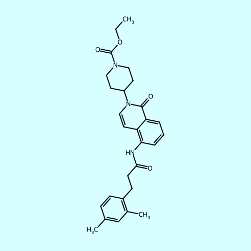 CCOC(=O)N1CCC(n2ccc3c(NC(=O)CCc4ccc(C)cc4C)cccc3c2=O)CC1